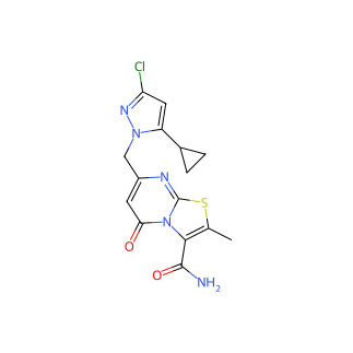 Cc1sc2nc(Cn3nc(Cl)cc3C3CC3)cc(=O)n2c1C(N)=O